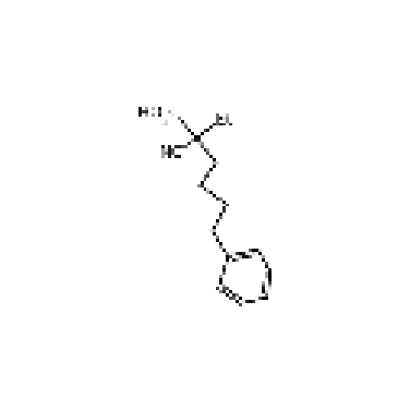 CCC(C#N)(CCCCc1ccccc1)C(=O)O